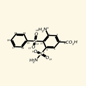 Nc1cc(C(=O)O)cc(S(N)(=O)=O)c1S(=O)(=O)c1ccccc1